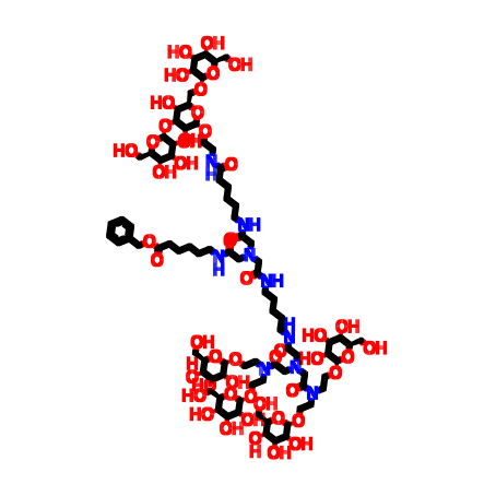 O=C(CCCCCNC(=O)CN(CC(=O)NCCCCCNC(=O)CN(CC(=O)N(CCO[C@H]1O[C@H](CO)[C@@H](O)[C@H](O)[C@@H]1O)CCO[C@H]1O[C@H](CO)[C@@H](O)[C@H](O)[C@@H]1O)CC(=O)N(CCO[C@H]1O[C@H](CO)[C@@H](O)[C@H](O)[C@@H]1O)CCO[C@H]1O[C@H](CO)[C@@H](O)[C@H](O)[C@@H]1O)CC(=O)NCCCCCC(=O)OCc1ccccc1)NCCO[C@H]1O[C@H](CO[C@H]2O[C@H](CO)[C@@H](O)[C@H](O)[C@@H]2O)[C@@H](O)[C@H](O[C@H]2O[C@H](CO)[C@@H](O)[C@H](O)[C@@H]2O)[C@@H]1O